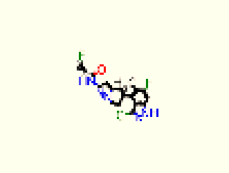 Cc1c(F)cc2[nH]nc(Cl)c2c1-c1ccn2nc(NC(=O)[C@@H]3C[C@@H]3F)cc2c1